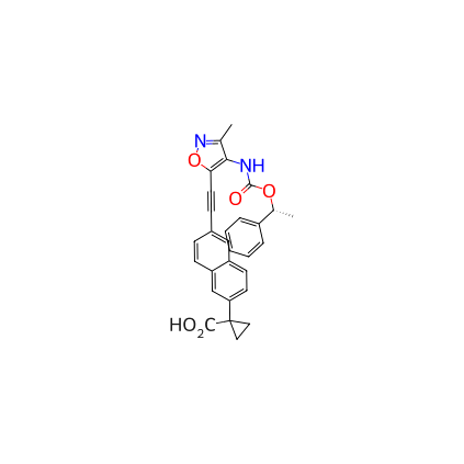 Cc1noc(C#Cc2ccc3cc(C4(C(=O)O)CC4)ccc3c2)c1NC(=O)O[C@H](C)c1ccccc1